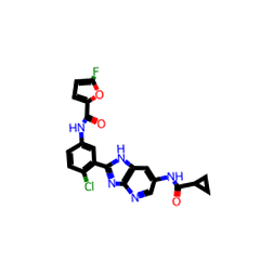 O=C(Nc1ccc(Cl)c(-c2nc3ncc(NC(=O)C4CC4)cc3[nH]2)c1)c1ccc(F)o1